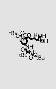 CC(C)(C)OC(=O)N[C@H](C(=O)N[C@H]1CCN(C(=O)OC(C)(C)C)[C@@](CCCCB(O)O)(C(=O)O)C1)C(C)(C)C